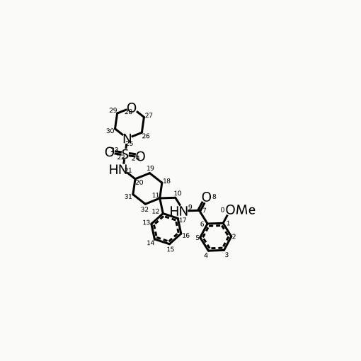 COc1ccccc1C(=O)NCC1(c2ccccc2)CCC(NS(=O)(=O)N2CCOCC2)CC1